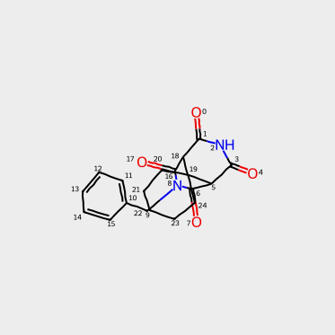 O=C1NC(=O)C2C(=O)N(Cc3ccccc3)C(=O)C1C21CCCCC1